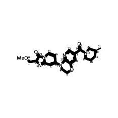 COCC1N=C2C=C(N3CCOc4cc(C(=O)N5CCC[C@H](C)C5)cnc43)C=CN2C1=O